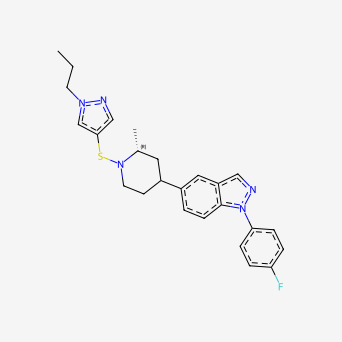 CCCn1cc(SN2CCC(c3ccc4c(cnn4-c4ccc(F)cc4)c3)C[C@H]2C)cn1